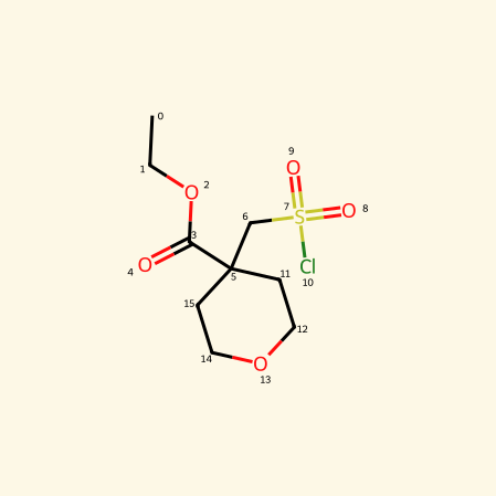 CCOC(=O)C1(CS(=O)(=O)Cl)CCOCC1